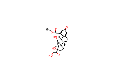 CC(C)(C)OC(=O)CC1=CC(=O)C=C2CC[C@@H]3[C@H]([C@@H](O)C[C@@]4(C)[C@H]3CC[C@]4(O)C(=O)CO)[C@]21C